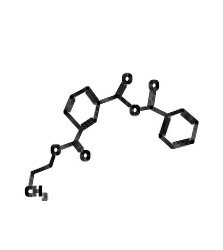 CCCOC(=O)c1cccc(C(=O)OC(=O)c2ccccc2)c1